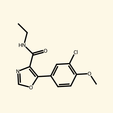 CCNC(=O)c1ncoc1-c1ccc(OC)c(Cl)c1